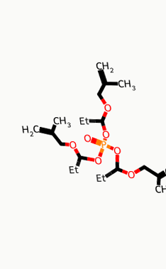 C=C(C)COC(CC)OP(=O)(OC(CC)OCC(=C)C)OC(CC)OCC(=C)C